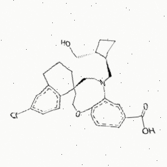 O=C(O)c1ccc2c(c1)N(C[C@@H]1CC[C@H]1CO)C[C@@]1(CCCc3cc(Cl)ccc31)CO2